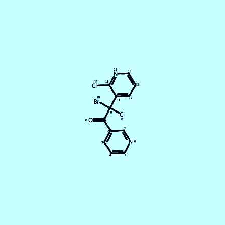 O=C(c1cccnc1)C(Cl)(Br)c1cccnc1Cl